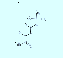 CC(C)(C)OC(=O)CC(O)C(=O)O